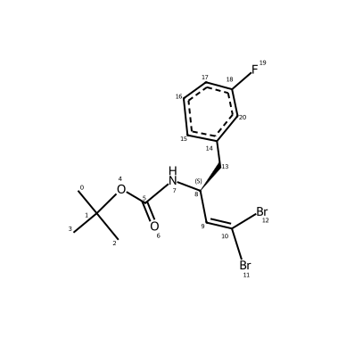 CC(C)(C)OC(=O)N[C@H](C=C(Br)Br)Cc1cccc(F)c1